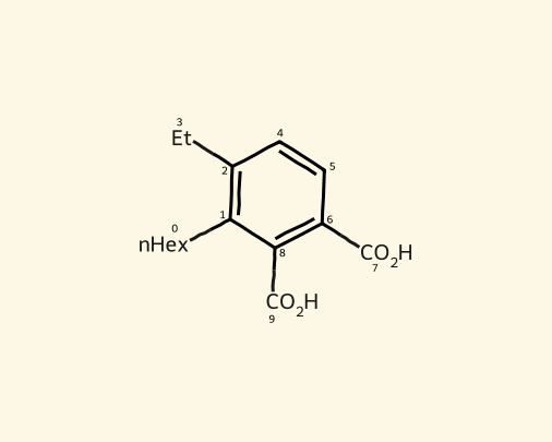 CCCCCCc1c(CC)ccc(C(=O)O)c1C(=O)O